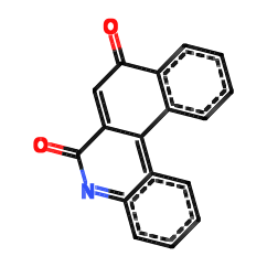 O=C1N=c2ccccc2=C2C1=CC(=O)c1ccccc12